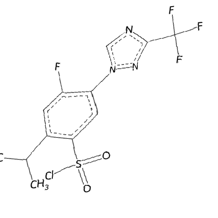 CC(C)c1cc(F)c(-n2cnc(C(F)(F)F)n2)cc1S(=O)(=O)Cl